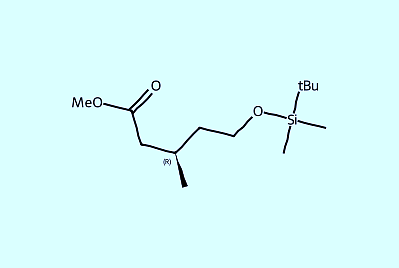 COC(=O)C[C@H](C)CCO[Si](C)(C)C(C)(C)C